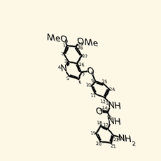 COc1cc2nccc(Oc3ccc(NC(=O)Nc4ccccc4N)cc3)c2cc1OC